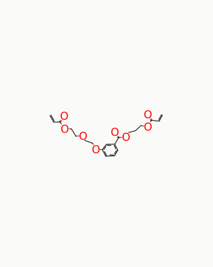 C=CC(=O)OCCCOC(=O)c1cccc(OCCOCCOC(=O)C=C)c1